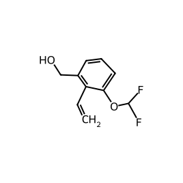 C=Cc1c(CO)cccc1OC(F)F